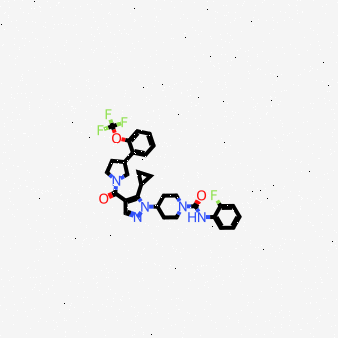 O=C(Nc1ccccc1F)N1CCC(n2ncc(C(=O)N3CCC(c4ccccc4OC(F)(F)F)C3)c2C2CC2)CC1